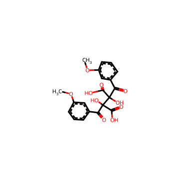 COc1cccc(C(=O)C(O)(C(=O)O)C(O)(C(=O)O)C(=O)c2cccc(OC)c2)c1